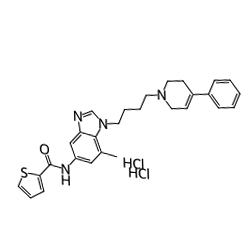 Cc1cc(NC(=O)c2cccs2)cc2ncn(CCCCN3CC=C(c4ccccc4)CC3)c12.Cl.Cl